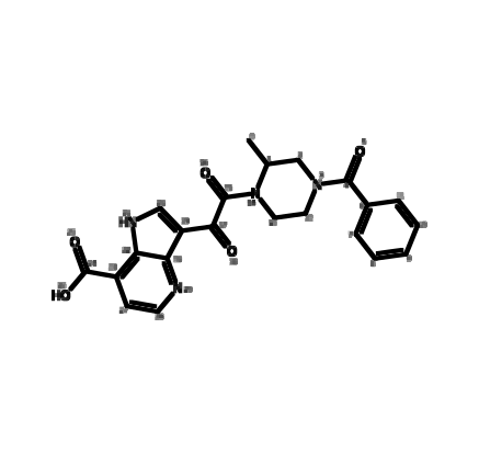 CC1CN(C(=O)c2ccccc2)CCN1C(=O)C(=O)c1c[nH]c2c(C(=O)O)ccnc12